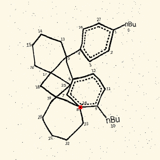 CCCCc1ccc(C2(c3ccc(CCCC)cc3)CCCCC23CC2(CCCCC2)C3)cc1